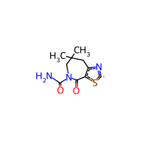 CC1(C)Cc2n[c]sc2C(=O)N(C(N)=O)C1